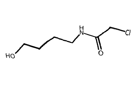 O=C(CCl)NCCCCO